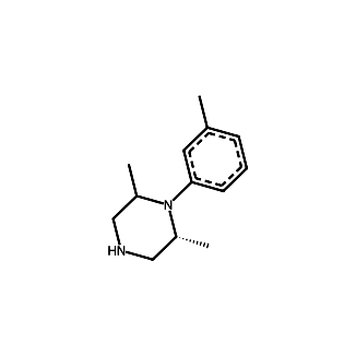 Cc1cccc(N2C(C)CNC[C@H]2C)c1